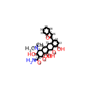 CN(C)C1C(O)=C(C(N)=O)C(=O)C2(O)C(O)=C3C(=O)c4c(O)ccc(-c5cc6ccccc6o5)c4CC3CC12